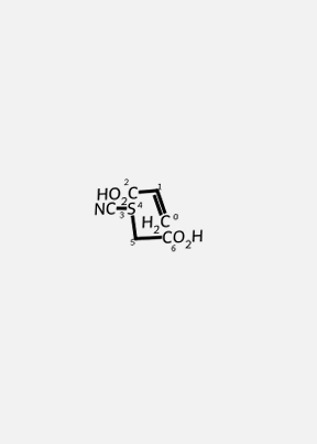 C=CC(=O)O.N#CSCC(=O)O